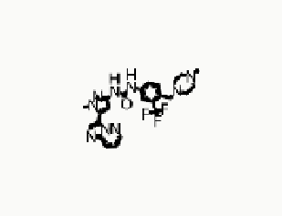 CN1CCN(Cc2ccc(NC(=O)Nc3cc(-c4cnc5cccnn45)n(C)n3)cc2C(F)(F)F)CC1